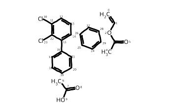 C=COC(C)=O.CC(=O)O.Clc1cccc(-c2ccccc2)c1Cl.c1ccccc1